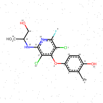 CC(C)c1cc(Oc2c(Cl)c(F)nc(NC(CO)C(=O)O)c2Cl)ccc1O